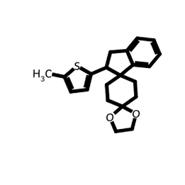 Cc1ccc(C2Cc3ccccc3C23CCC2(CC3)OCCO2)s1